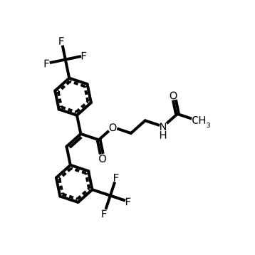 CC(=O)NCCOC(=O)C(=Cc1cccc(C(F)(F)F)c1)c1ccc(C(F)(F)F)cc1